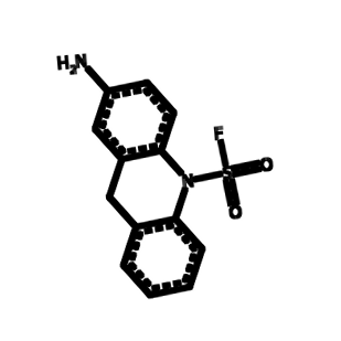 Nc1ccc2c(c1)Cc1ccccc1N2S(=O)(=O)F